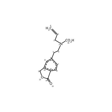 C=CCN(CCc1ccc2c(c1)COC2=O)C(=O)O